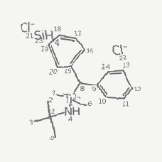 CC(C)(C)[NH][Ti+2]([CH3])([CH3])[CH](c1ccccc1)c1ccccc1.[Cl-].[Cl-].[SiH4]